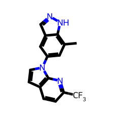 Cc1cc(-n2ccc3ccc(C(F)(F)F)nc32)cc2cn[nH]c12